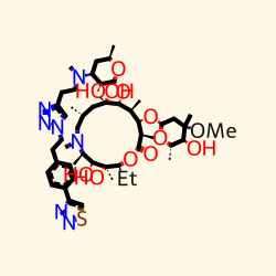 CC[C@H]1OC(=O)[C@H](C)[C@@H](O[C@H]2C[C@@](C)(OC)[C@@H](O)[C@H](C)O2)[C@H](C)[C@@H](O[C@@H]2O[C@H](C)C[C@H](N(C)CCc3cn(CCc4ccc(-c5csnn5)cc4)nn3)[C@H]2O)[C@](C)(O)C[C@@H](C)CN(C)[C@H](C)[C@@H](O)[C@]1(C)O